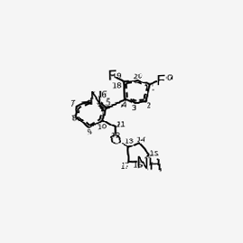 Fc1ccc(-c2ncccc2CO[C@H]2CCNC2)c(F)c1